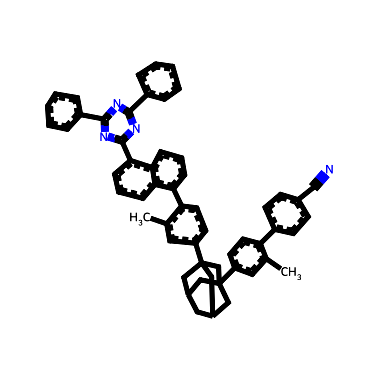 Cc1cc(C23CC4CC(C2)CC(c2ccc(-c5cccc6c(-c7nc(-c8ccccc8)nc(-c8ccccc8)n7)cccc56)c(C)c2)(C4)C3)ccc1-c1ccc(C#N)cc1